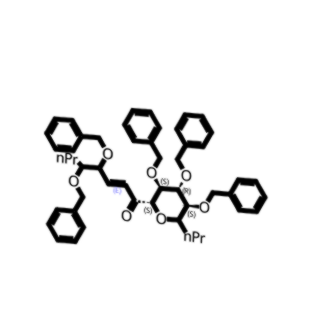 CCCC(OCc1ccccc1)C(/C=C/C(=O)[C@H]1OC(CCC)[C@H](OCc2ccccc2)[C@@H](OCc2ccccc2)[C@@H]1OCc1ccccc1)OCc1ccccc1